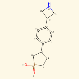 O=S1(=O)CCC(c2ccc(C3CNC3)cc2)C1